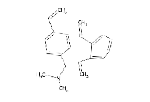 C=Cc1ccc(CN(C)C)cc1.C=Cc1ccccc1C=C